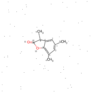 Cc1cc(C)c2c(c1)C(C)C(=O)O2